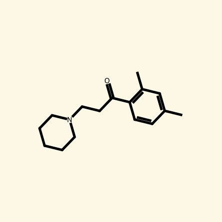 Cc1ccc(C(=O)CCN2CCCCC2)c(C)c1